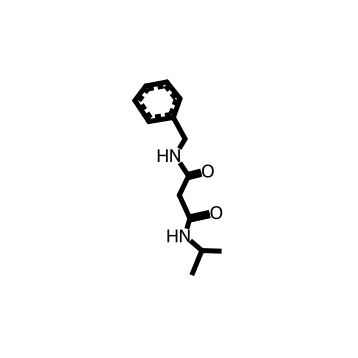 CC(C)NC(=O)CC(=O)NCc1ccccc1